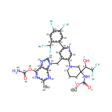 CC(C)(C)OC(=O)NC1(C(O)C(F)F)CCCN(c2cnc(-c3cc(F)c(F)cc3C(F)F)cc2Cn2cnc3c(OC(N)=O)nc(C(C)(C)C)nc32)C1